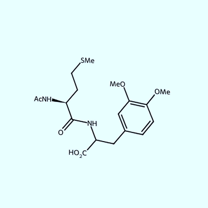 COc1ccc(CC(NC(=O)[C@H](CCSC)NC(C)=O)C(=O)O)cc1OC